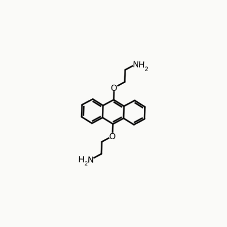 NCCOc1c2ccccc2c(OCCN)c2ccccc12